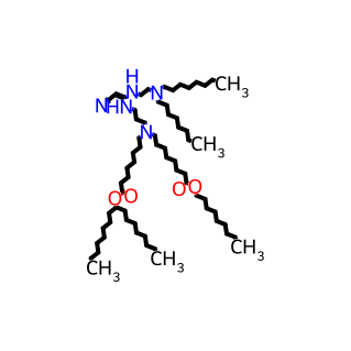 CCCCCCCCCOC(=O)CCCCCCCN(CCCCCCCC(=O)OC(CCCCCCCC)CCCCCCCC)CCCN/C(=C\C#N)NCCN(CCCCCCCC)CCCCCCCC